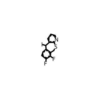 Fc1ccc2c(c1F)CSc1ncccc1C2I